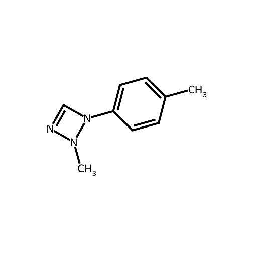 Cc1ccc(-n2cnn2C)cc1